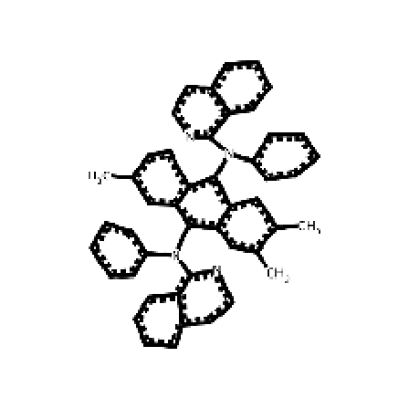 Cc1ccc2c(N(c3ccccc3)c3nccc4ccccc34)c3cc(C)c(C)cc3c(N(c3ccccc3)c3nccc4ccccc34)c2c1